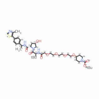 Cc1ncsc1-c1ccc(C(C)NC(=O)[C@@H]2C[C@@H](O)CN2C(=O)C(NC(=O)COCCOCCOCCOC2CCN(C(=O)OC(C)(C)C)CC2)C(C)(C)C)cc1